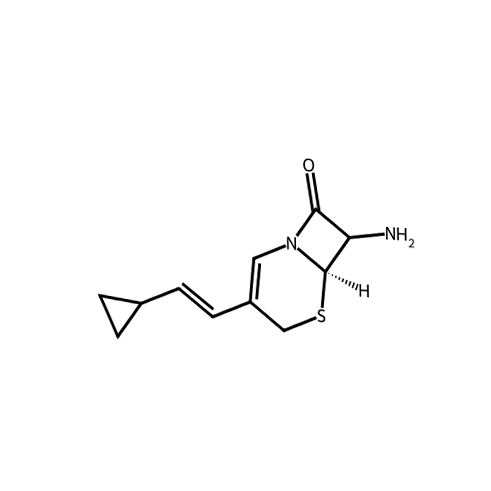 NC1C(=O)N2C=C(C=CC3CC3)CS[C@H]12